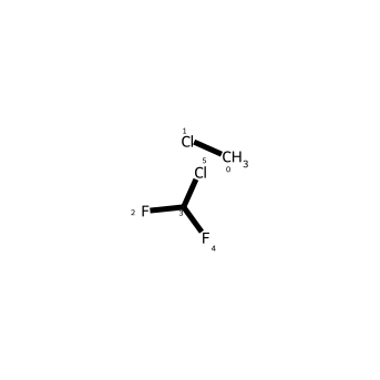 CCl.FC(F)Cl